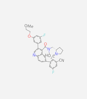 COCCOc1cc(F)cc(-c2cnc3ccc(-c4cc(F)cc(C#N)c4)cc3c2C(=O)N(C)C[C@@H]2CCCN2C(=O)O)c1